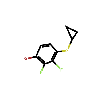 Fc1c(Br)ccc(SC2CC2)c1F